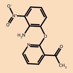 CC(=O)c1cccnc1Oc1cccc([N+](=O)[O-])c1N